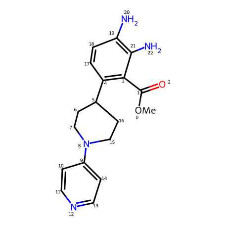 COC(=O)c1c(C2CCN(c3ccncc3)CC2)ccc(N)c1N